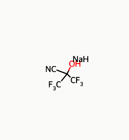 N#CC(O)(C(F)(F)F)C(F)(F)F.[NaH]